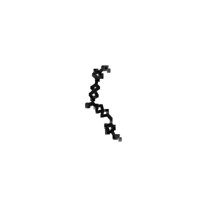 O=C(N1CC2(CC(Cc3nc(C(F)(F)F)ns3)C2)C1)N1CC2(CC(n3cnc(C(F)(F)F)n3)C2)C1